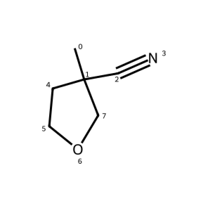 CC1(C#N)CCOC1